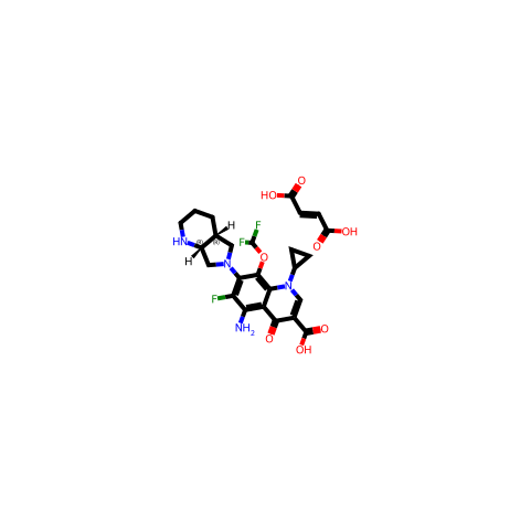 Nc1c(F)c(N2C[C@H]3CCCN[C@H]3C2)c(OC(F)F)c2c1c(=O)c(C(=O)O)cn2C1CC1.O=C(O)C=CC(=O)O